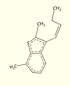 CC/C=C\c1c(C)sc2c(C)cccc12